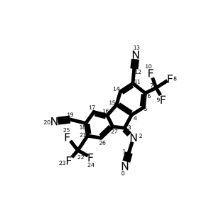 N#CN=C1c2cc(C(F)(F)F)c(C#N)cc2-c2cc(C#N)c(C(F)(F)F)cc21